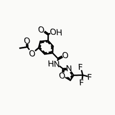 CC(=O)Oc1cc(C(=O)O)cc(C(=O)Nc2nc(C(F)(F)F)co2)c1